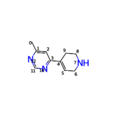 Cc1cc(C2=CCNCC2)ncn1